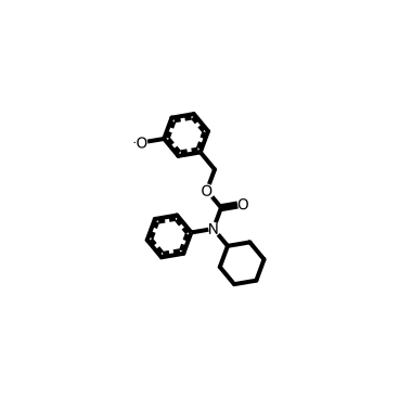 [O]c1cccc(COC(=O)N(c2ccccc2)C2CCCCC2)c1